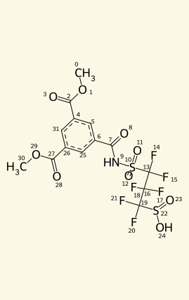 COC(=O)c1cc(C(=O)NS(=O)(=O)C(F)(F)C(F)(F)C(F)(F)S(=O)O)cc(C(=O)OC)c1